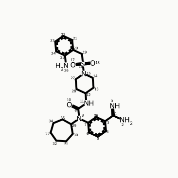 N=C(N)c1cccc(N(C(=O)NC2CCN(S(=O)(=O)Cc3ccccc3N)CC2)C2CCCCCC2)c1